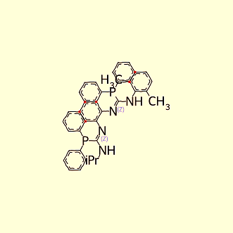 Cc1cccc(C)c1N/C(=N/c1ccccc1/N=C(/NC(C)C)P(c1ccccc1)c1ccccc1)P(c1ccccc1)c1ccccc1